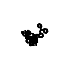 Oc1ccc2c3c1O[C@H]1[C@H](NCc4ccccc4CC(c4ccccc4)c4ccccc4)CC[C@@]4(O)[C@@H](C2)N(CC2CC2)CC[C@]314